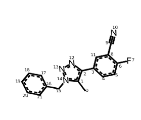 Cc1c(-c2ccc(F)c(C#N)c2)nnn1Cc1ccccc1